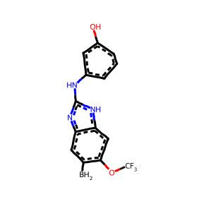 Bc1cc2nc(Nc3cccc(O)c3)[nH]c2cc1OC(F)(F)F